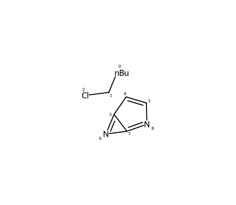 CCCCCCl.c1cc2nc-2n1